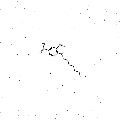 CCCCCCCOc1ccc(C(=O)O)cc1OC